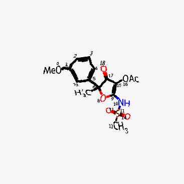 COc1cccc(C2(C)OC(NS(C)(=O)=O)=C(OC(C)=O)C2=O)c1